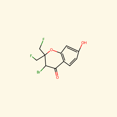 O=C1c2ccc(O)cc2OC(CF)(CF)C1Br